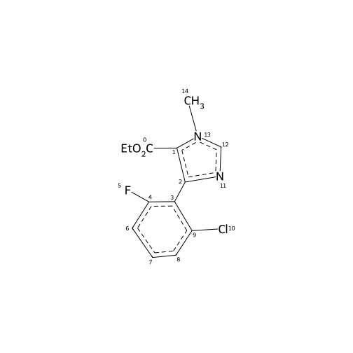 CCOC(=O)c1c(-c2c(F)cccc2Cl)ncn1C